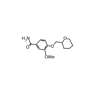 COc1cc(C(N)=O)ccc1OCC1CCCCO1